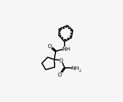 NC(=O)OC1(C(=O)Nc2ccccc2)CCCC1